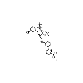 CCOC(=O)c1cccc(-c2cccc(NCCN(CC(O[Si](C)(C)C(C)(C)C)c3cccc(Cl)c3)C(=O)OC(C)(C)C)c2)n1